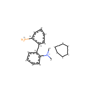 C1CCCCC1.CN(C)c1ccccc1-c1ccccc1P